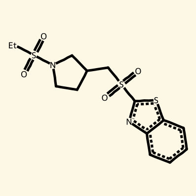 CCS(=O)(=O)N1CCC(CS(=O)(=O)c2nc3ccccc3s2)C1